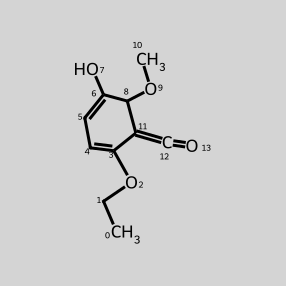 CCOC1=CC=C(O)C(OC)C1=C=O